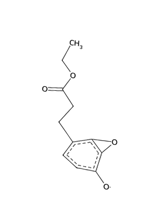 CCOC(=O)CCc1ccc([O])c2c1O2